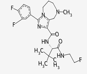 CN1CCCn2c(-c3ccc(F)c(F)c3)nc(C(=O)N[C@H](C(=O)NCCF)C(C)(C)C)c2C1